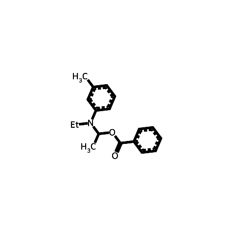 CCN(c1cccc(C)c1)C(C)OC(=O)c1ccccc1